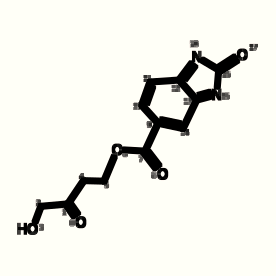 O=C(CO)CCOC(=O)c1ccc2c(c1)=NC(=O)N=2